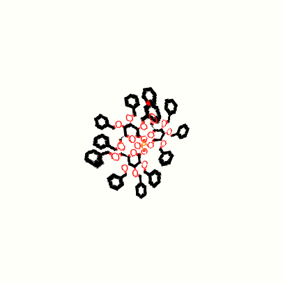 O=P(OC1O[C@H](COCc2ccccc2)[C@@H](OCc2ccccc2)[C@H](OCc2ccccc2)[C@H]1OCc1ccccc1)(OC1O[C@H](COCc2ccccc2)[C@@H](OCc2ccccc2)[C@H](OCc2ccccc2)[C@H]1OCc1ccccc1)OC1O[C@H](COCc2ccccc2)[C@@H](OCc2ccccc2)[C@H](OCc2ccccc2)[C@H]1OCc1ccccc1